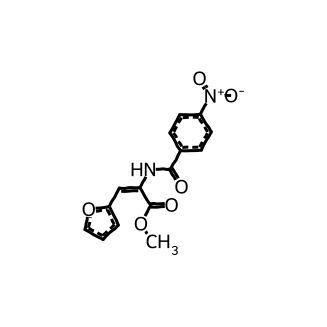 COC(=O)C(=Cc1ccco1)NC(=O)c1ccc([N+](=O)[O-])cc1